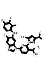 Cc1cc(C(F)F)nn1-c1nc(-n2cnc3cc(F)c(Nc4ccc(F)c(F)c4F)cc32)ccc1C(C)O